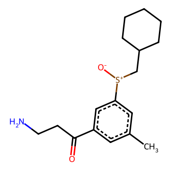 Cc1cc(C(=O)CCN)cc([S+]([O-])CC2CCCCC2)c1